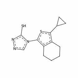 Sc1nncn1-c1sc(C2CC2)c2c1CCCC2